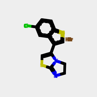 Br.Clc1ccc2scc(C3=CSC4=NCCN34)c2c1